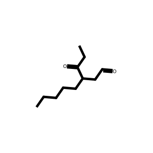 CCCCCC(CC=O)C(=O)CC